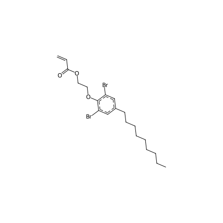 C=CC(=O)OCCOc1c(Br)cc(CCCCCCCCC)cc1Br